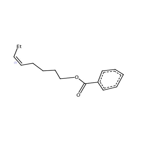 CC/C=C\CCCCOC(=O)c1ccccc1